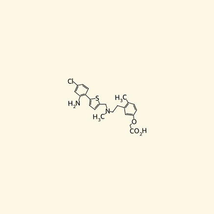 Cc1ccc(OCC(=O)O)cc1CCN(C)Cc1ccc(-c2ccc(Cl)cc2N)s1